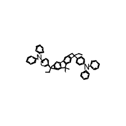 CCC1(c2ccc(N(c3ccccc3)c3ccccc3)cc2)Cc2cc3c(cc21)C(C)(C)c1cc2c(cc1-3)C2(CC)c1ccc(N(c2ccccc2)c2ccccc2)cc1